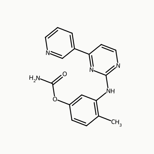 Cc1ccc(OC(N)=O)cc1Nc1nccc(-c2cccnc2)n1